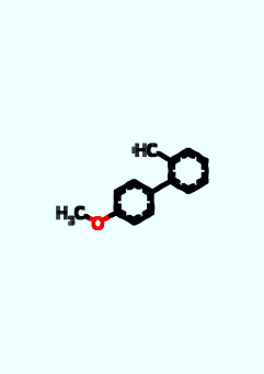 [CH]c1ccccc1-c1ccc(OC)cc1